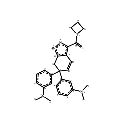 CN(C)c1cccc(C2(c3cccc(N(C)C)c3)C=Cc3c(C(=O)N4CCC4)n[nH]c3C2)c1